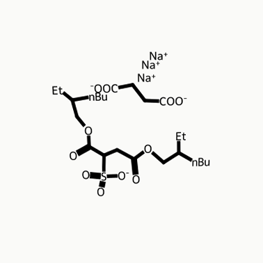 CCCCC(CC)COC(=O)CC(C(=O)OCC(CC)CCCC)S(=O)(=O)[O-].O=C([O-])CCC(=O)[O-].[Na+].[Na+].[Na+]